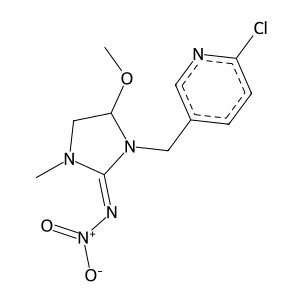 COC1CN(C)C(=N[N+](=O)[O-])N1Cc1ccc(Cl)nc1